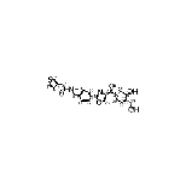 O=C(Cc1ccsc1)NCc1ccc(-c2nc(C(=O)N3CC[C@H](CO)[C@H](O)C3)co2)cc1